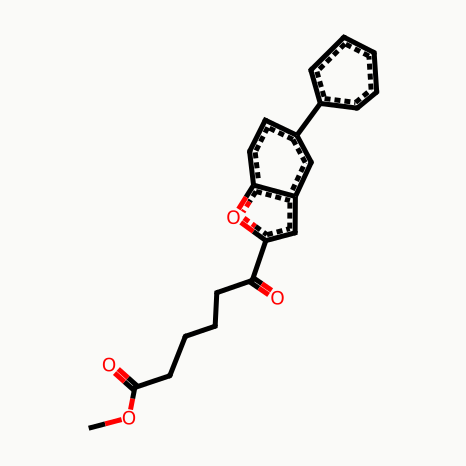 COC(=O)CCCCC(=O)c1cc2cc(-c3ccccc3)ccc2o1